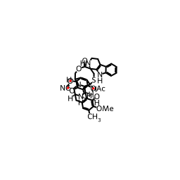 COc1c(C)cc2c(c1O)[C@@H]1N[C@H](C2)[C@H](C#N)N2C1[C@@H]1SC[C@]3(NCCc4c3[nH]c3ccccc43)C(=O)OC[C@H]2c2c3c(c(C)c(OC(C)=O)c21)OCO3